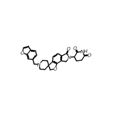 O=C1CCC(N2Cc3c(ccc4c3OCC43CCN(Cc4ccc5ccoc5c4)CC3)C2=O)C(=O)N1